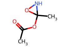 CC(=O)OC1(C)NO1